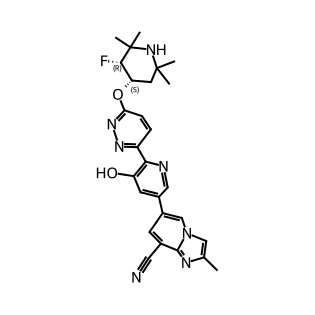 Cc1cn2cc(-c3cnc(-c4ccc(O[C@H]5CC(C)(C)NC(C)(C)[C@H]5F)nn4)c(O)c3)cc(C#N)c2n1